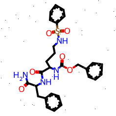 NC(=O)C(Cc1ccccc1)NC(=O)C(CCCNS(=O)(=O)c1ccccc1)NC(=O)OCc1ccccc1